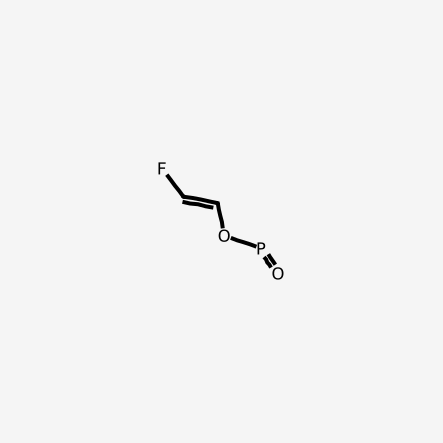 O=POC=CF